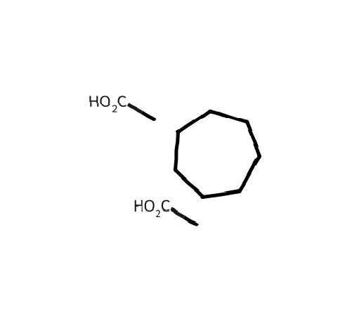 C1CCCCCC1.CC(=O)O.CC(=O)O